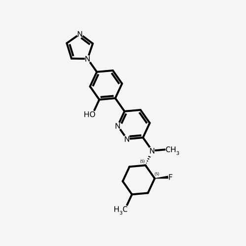 CC1CC[C@H](N(C)c2ccc(-c3ccc(-n4ccnc4)cc3O)nn2)[C@@H](F)C1